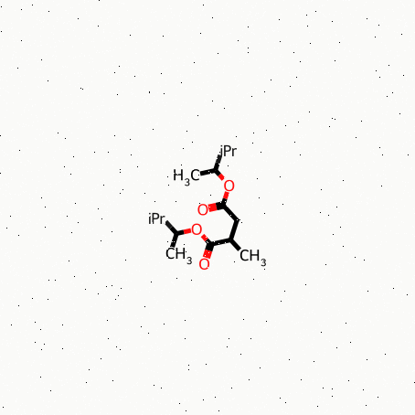 CC(CC(=O)OC(C)C(C)C)C(=O)OC(C)C(C)C